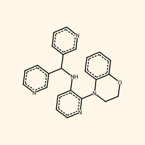 c1cncc(C(Nc2cccnc2N2CCOc3ccccc32)c2cccnc2)c1